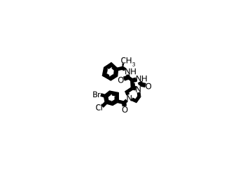 C[C@@H](NC(=O)c1[nH]c(=O)n2c1CN(C(=O)c1ccc(Br)c(Cl)c1)CC2)c1ccccc1